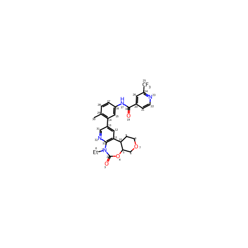 CCN1C(=O)OC2COCCC2c2cc(-c3cc(NC(=O)c4ccnc(C(F)(F)F)c4)ccc3C)cnc21